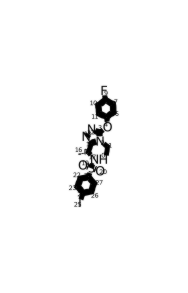 CCn1c(Oc2ccc(F)cc2)nnc1[C@@H](C)NS(=O)(=O)c1ccc(I)cc1